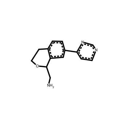 NCC1OCCc2ccc(-c3ccncn3)cc21